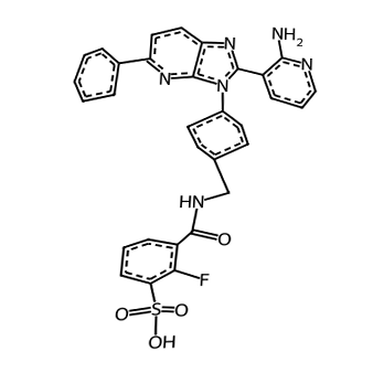 Nc1ncccc1-c1nc2ccc(-c3ccccc3)nc2n1-c1ccc(CNC(=O)c2cccc(S(=O)(=O)O)c2F)cc1